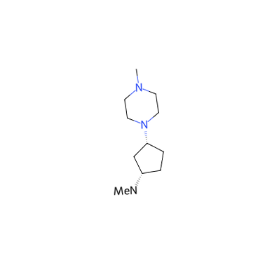 CN[C@H]1CC[C@@H](N2CCN(C)CC2)C1